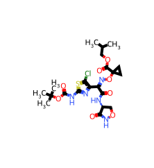 CC(C)COC(=O)C1(O/N=C(\C(=O)N[C@H]2CONC2=O)c2nc(NC(=O)OC(C)(C)C)sc2Cl)CC1